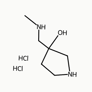 CNCC1(O)CCNC1.Cl.Cl